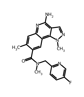 Cc1cc2nc(N)c3cnn(C)c3c2cc1C(=O)N(C)Cc1ccc(F)cn1